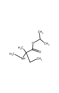 CCC(C)(NC)C(=O)OC(C)C